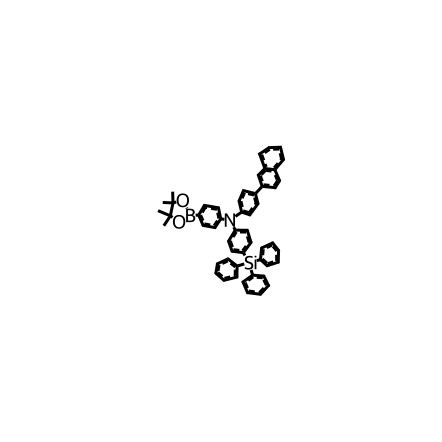 CC1(C)OB(c2ccc(N(c3ccc(-c4ccc5ccccc5c4)cc3)c3ccc([Si](c4ccccc4)(c4ccccc4)c4ccccc4)cc3)cc2)OC1(C)C